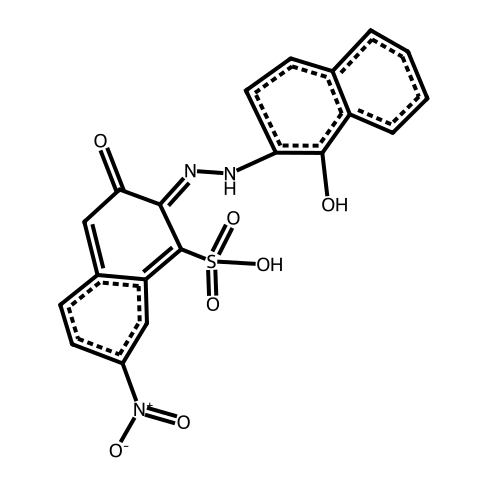 O=C1C=c2ccc([N+](=O)[O-])cc2=C(S(=O)(=O)O)C1=NNc1ccc2ccccc2c1O